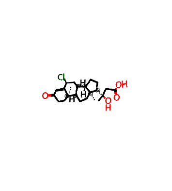 CC(O)(CC(=O)O)[C@H]1CC[C@H]2[C@@H]3CC(Cl)C4=CC(=O)CC[C@]4(C)[C@H]3CC[C@]12C